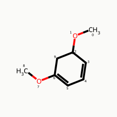 CO[C]1C=CC=C(OC)C1